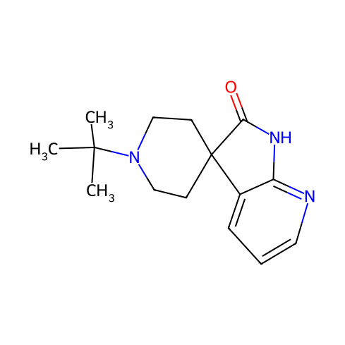 CC(C)(C)N1CCC2(CC1)C(=O)Nc1ncccc12